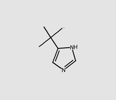 [CH2]C(C)(C)c1cnc[nH]1